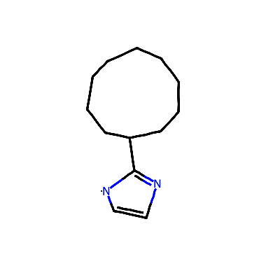 C1=CN=C(C2CCCCCCCCC2)[N]1